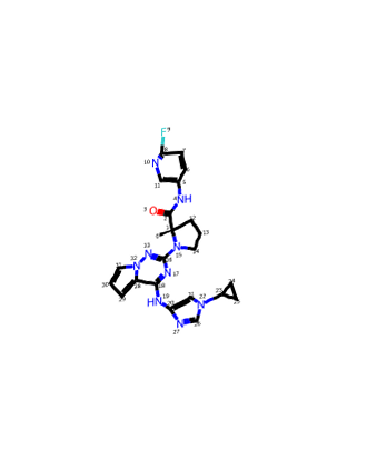 C[C@@]1(C(=O)Nc2ccc(F)nc2)CCCN1c1nc(Nc2cn(C3CC3)cn2)c2cccn2n1